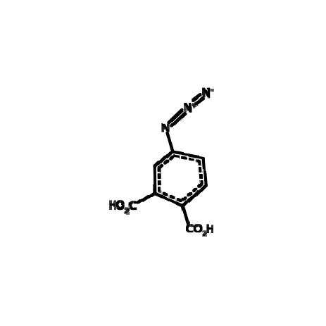 [N-]=[N+]=Nc1ccc(C(=O)O)c(C(=O)O)c1